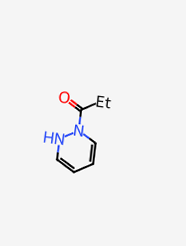 CCC(=O)N1C=CC=CN1